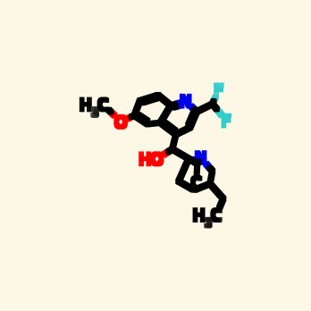 CCC1CN2CCC1CC2C(O)c1cc(C(F)F)nc2ccc(OC)cc12